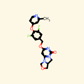 Cc1cc(Oc2c(F)cc(COc3cc4n(c(=O)n3)CC3COCN43)cc2F)ccn1